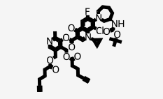 C#CCCCC(=O)OCc1cnc(C)c(OC(=O)c2cn(C3CC3)c3c(Cl)c(N4CCCC[C@@H](NC(=O)OC(C)(C)C)C4)c(F)cc3c2=O)c1COC(=O)CCCC#C